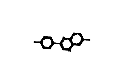 Cc1ccc(-c2cnc3cc(C)ccc3n2)cc1